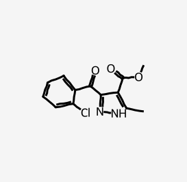 COC(=O)c1c(C(=O)c2ccccc2Cl)n[nH]c1C